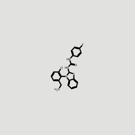 NCc1cccc(Cl)c1N1c2ccccc2SC1NC(=O)Nc1ccc(F)cc1